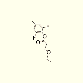 CCOCCC(=O)Oc1c(F)cc(C)cc1F